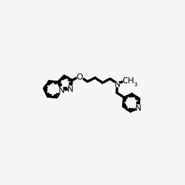 CN(CCCCOc1cc2ccccn2n1)Cc1ccncc1